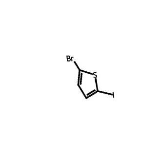 Brc1ccc(I)s1